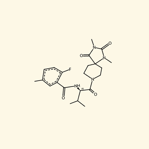 Cc1ccc(F)c(C(=O)N[C@@H](C(=O)N2CCC3(CC2)C(=O)N(C)C(=O)N3C)C(C)C)c1